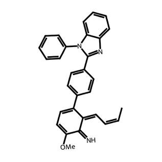 C/C=C\C=C1/C(=N)C(OC)=CC=C1c1ccc(-c2nc3ccccc3n2-c2ccccc2)cc1